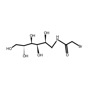 O=C(CBr)N[CH][C@H](O)[C@@H](O)[C@H](O)[C@H](O)CO